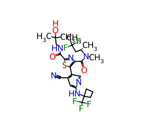 C[C@@H](CC(C)(F)F)N(C)C(=O)c1nc(C(=O)NCC(C)(C)O)sc1-c1cnc(NC2(C(F)(F)F)CCC2)cc1C#N